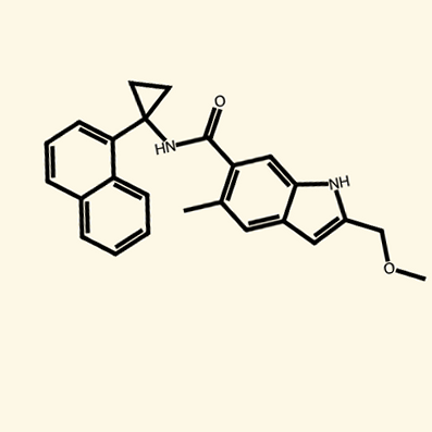 COCc1cc2cc(C)c(C(=O)NC3(c4cccc5ccccc45)CC3)cc2[nH]1